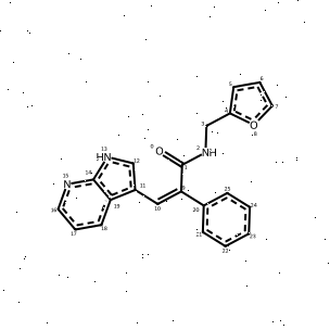 O=C(NCc1ccco1)C(=Cc1c[nH]c2ncccc12)c1ccccc1